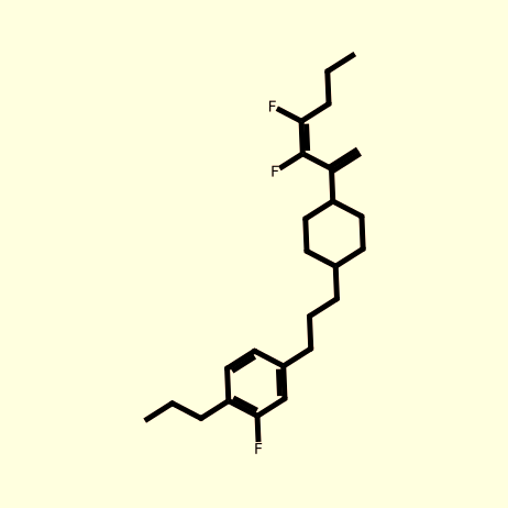 C=C(/C(F)=C(/F)CCC)C1CCC(CCCc2ccc(CCC)c(F)c2)CC1